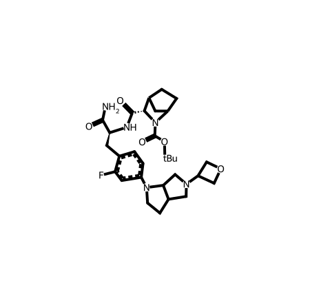 CC(C)(C)OC(=O)N1C2CCC(C2)[C@H]1C(=O)N[C@@H](Cc1ccc(N2CCC3CN(C4COC4)CC32)cc1F)C(N)=O